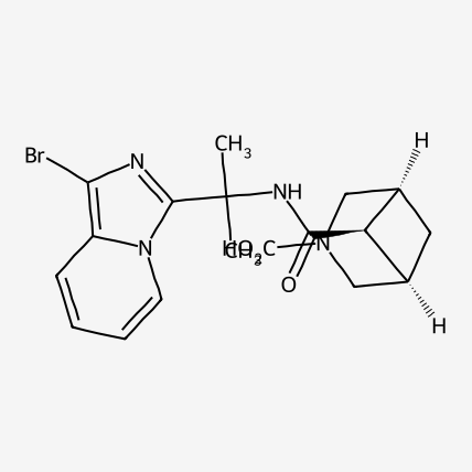 CC(C)(NC(=O)[C@H]1[C@@H]2C[C@H]1CN(C(=O)O)C2)c1nc(Br)c2ccccn12